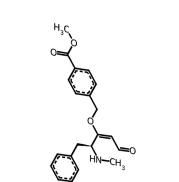 CN[C@@H](Cc1ccccc1)/C(=C\C=O)OCc1ccc(C(=O)OC)cc1